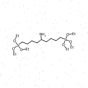 CCO[Si](CCCCC(N)CCCC[Si](OCC)(OCC)OCC)(OCC)OCC